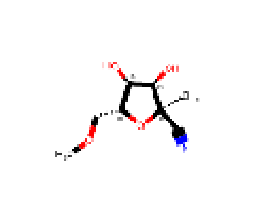 COC[C@H]1O[C@](C)(C#N)[C@H](O)[C@@H]1O